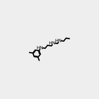 CCCNCNCCCNc1cc(C)cc(C)c1